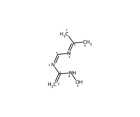 C=C(/N=C\N=C(C)C)NO